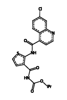 CC(C)OC(=O)NC(=O)c1ccsc1NC(=O)c1ccnc2cc(Cl)ccc12